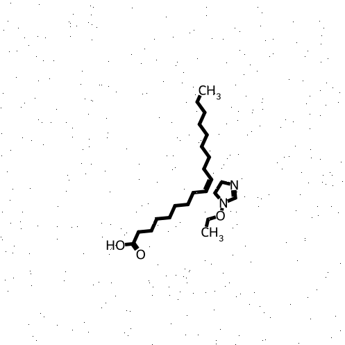 CCCCCCCC/C=C\CCCCCCCC(=O)O.CCON1C=NCC1